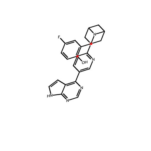 Oc1ccc(F)cc1CN1C2CC1CN(c1ccc(-c3ncnc4[nH]ccc34)cn1)C2